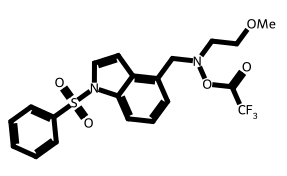 COCCN(Cc1cccc2c1ccn2S(=O)(=O)c1ccccc1)OC(=O)C(F)(F)F